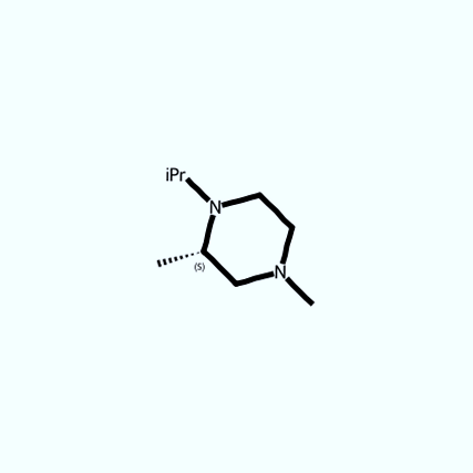 CC(C)N1CCN(C)C[C@@H]1C